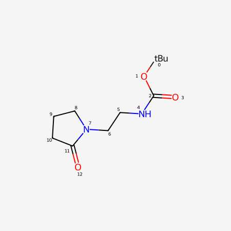 CC(C)(C)OC(=O)NCCN1CCCC1=O